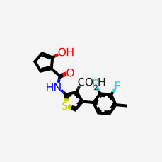 Cc1ccc(-c2csc(NC(=O)C3=CCC=C3O)c2C(=O)O)c(F)c1F